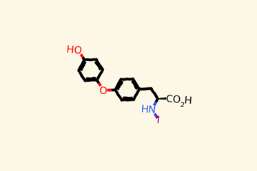 O=C(O)[C@H](Cc1ccc(Oc2ccc(O)cc2)cc1)NI